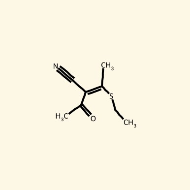 CCSC(C)=C(C#N)C(C)=O